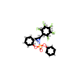 O=P(Oc1ccccc1)(Oc1ccccc1)N1CC1c1c(F)c(F)c(F)c(F)c1F